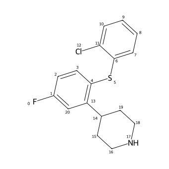 Fc1ccc(Sc2ccccc2Cl)c(C2CCNCC2)c1